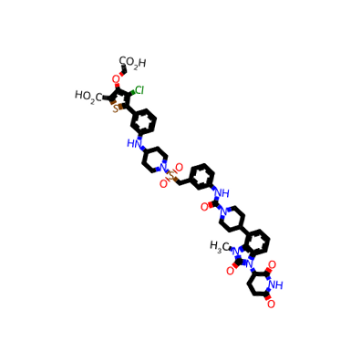 Cn1c(=O)n(C2CCC(=O)NC2=O)c2cccc(C3CCN(C(=O)Nc4cccc(CS(=O)(=O)N5CCC(Nc6cccc(-c7sc(C(=O)O)c(OCC(=O)O)c7Cl)c6)CC5)c4)CC3)c21